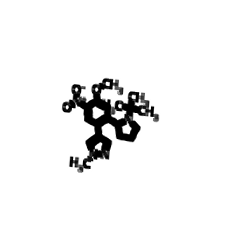 COc1cc(C2CCCN2C(C)(C)C)c(-c2cnn(C)c2)cc1[N+](=O)[O-]